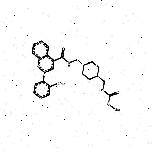 COc1ccccc1-c1cc(C(=O)NC[C@H]2CC[C@H](CNC(=O)OC(C)(C)C)CC2)c2ccccc2n1